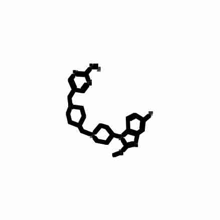 CSc1nc2cc(F)ccc2n1C1CCN(CC2CCN(Cc3cnc(N)nc3)CC2)CC1